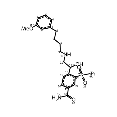 COc1cccc(CCCCNCC(O)c2ccc(C(N)=O)cc2S(=O)(=O)C(C)C)c1